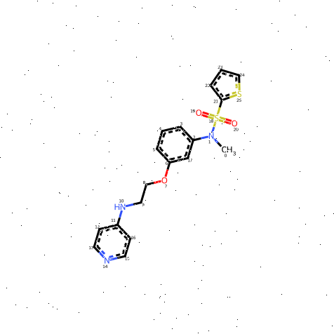 CN(c1cccc(OCCNc2ccncc2)c1)S(=O)(=O)c1cccs1